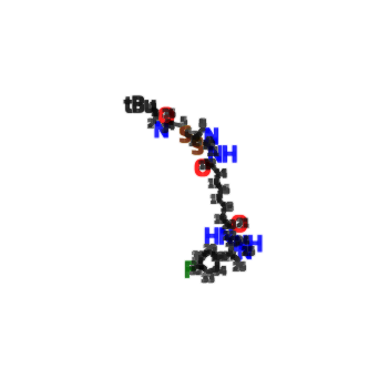 CC(C)(C)c1cnc(CSc2cnc(NC(=O)CCCCCCC(=O)Nc3[nH]ncc3-c3ccc(F)cc3)s2)o1